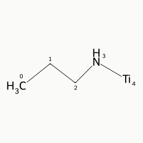 CCC[NH][Ti]